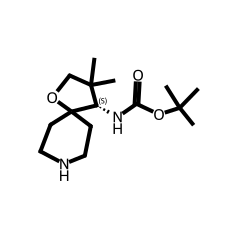 CC(C)(C)OC(=O)N[C@H]1C(C)(C)COC12CCNCC2